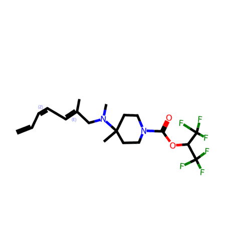 C=C/C=C\C=C(/C)CN(C)C1(C)CCN(C(=O)OC(C(F)(F)F)C(F)(F)F)CC1